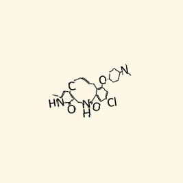 Cc1cc2c(c(=O)[nH]1)CNC(=O)c1cc(Cl)cc(O[C@H]3CC[C@H](N(C)C)CC3)c1C/C=C/CC2